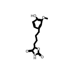 COc1cc(CCCCC2OC(=O)NC2=O)ccc1O